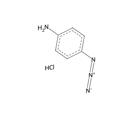 Cl.[N-]=[N+]=Nc1ccc(N)cc1